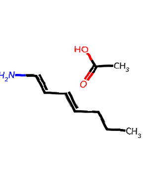 CC(=O)O.CCCC=CC=CN